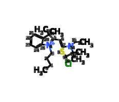 CCCC[N+]1=C(/C=C2\SC(Cl)C(C)(C)N2CC)C(C)(C)c2ccccc21